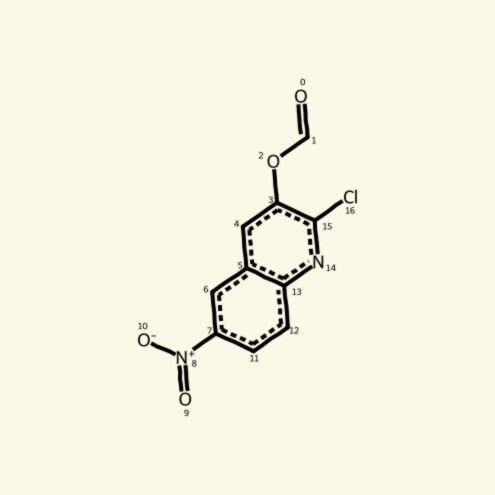 O=COc1cc2cc([N+](=O)[O-])ccc2nc1Cl